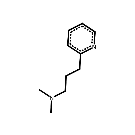 CN(C)CCCc1cc[c]cn1